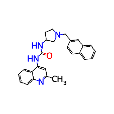 Cc1cc(NC(=O)NC2CCN(Cc3ccc4ccccc4c3)C2)c2ccccc2n1